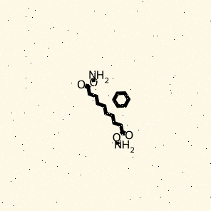 C1CCCCC1.NOC(=O)CCCCCCCCC(=O)ON